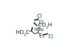 C=C(CC(CC)CCCC)C(=O)O.C=C(Cl)Cl.C=CC(=O)O.C=CCl